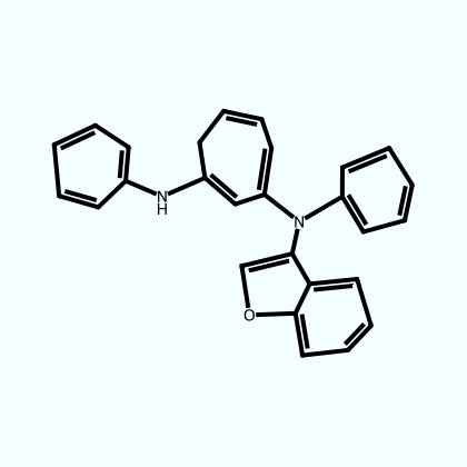 C1=CCC(Nc2ccccc2)=CC(N(c2ccccc2)c2coc3ccccc23)=C1